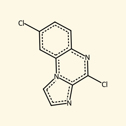 Clc1ccc2nc(Cl)c3nccn3c2c1